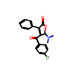 CN(C)C1OC(=O)C(c2ccccc2)=C1C(=O)c1ccc(Cl)cc1